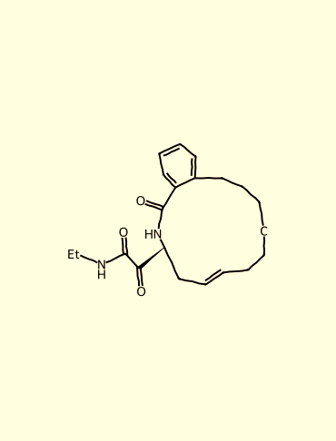 CCNC(=O)C(=O)[C@@H]1C/C=C/CCCCCCc2ccccc2C(=O)N1